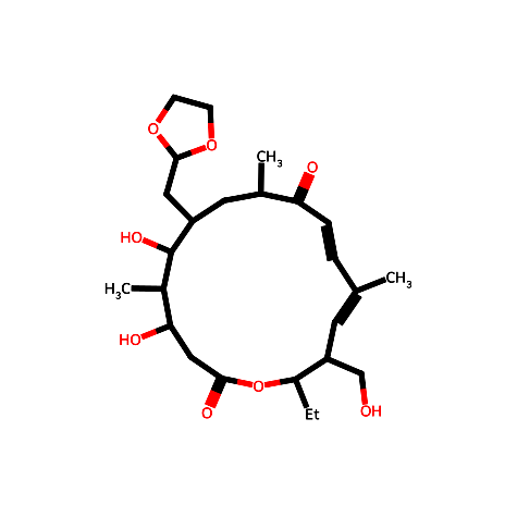 CCC1OC(=O)CC(O)C(C)C(O)C(CC2OCCO2)CC(C)C(=O)/C=C/C(C)=C/C1CO